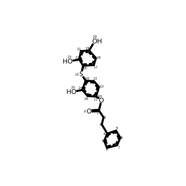 O=C(CCc1ccccc1)Oc1ccc(Sc2ccc(O)cc2O)c(O)c1